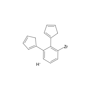 [H-].[Zr][c]1cccc(C2=CC=CC2)c1C1=CC=CC1